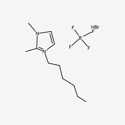 Br.CCCCCC[n+]1ccn(C)c1C.F[B-](F)(F)F